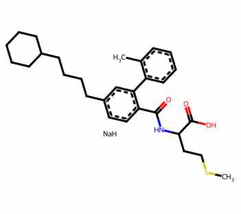 CSCCC(NC(=O)c1ccc(CCCCC2CCCCC2)cc1-c1ccccc1C)C(=O)O.[NaH]